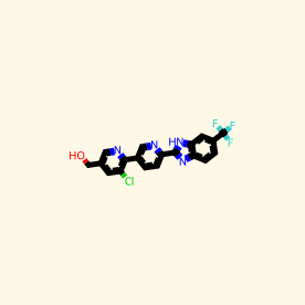 OCc1cnc(-c2ccc(-c3nc4ccc(C(F)(F)F)cc4[nH]3)nc2)c(Cl)c1